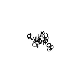 CC(C)(C)C(=O)Nc1ncc([C@H]2CC[C@@H](S(C)(=O)=O)CC2)nc1-c1ccc(C(=O)NCc2ccccc2)c(F)c1